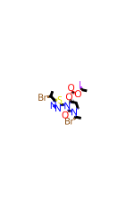 CC(I)OC(=O)O[C@@H]1CCN(C(C)Br)C(=O)N1c1nnc(C(C)Br)s1